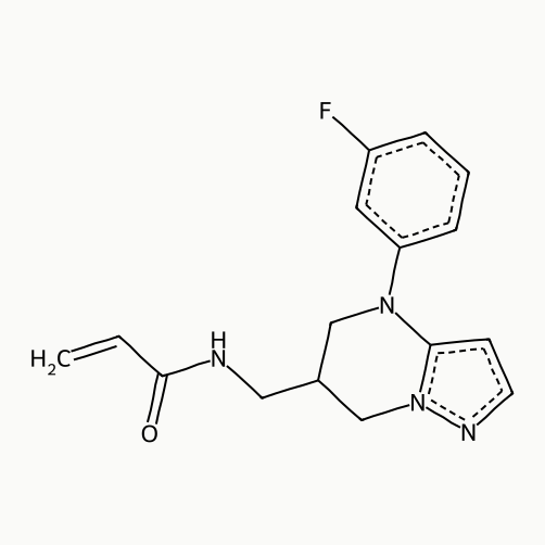 C=CC(=O)NCC1CN(c2cccc(F)c2)c2ccnn2C1